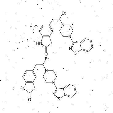 CCC(Cc1ccc2c(c1)CC(=O)N2)N1CCN(c2nsc3ccccc23)CC1.CCC(Cc1ccc2c(c1)CC(=O)N2)N1CCN(c2nsc3ccccc23)CC1.O